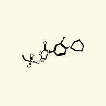 CCS(=O)(=O)O[C@@H]1CN(c2ccc(N3CCCCC3)c(F)c2)C(=O)O1